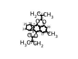 C=C(C)C(=O)Oc1c2c(c(OC(=O)C(=C)C)c3cc(C)ccc13)C1CCC2C1